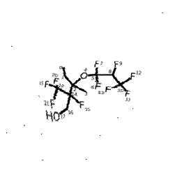 CCC(C)(OC(F)(F)C(F)C(F)(F)F)C(F)(CO)C(F)(F)F